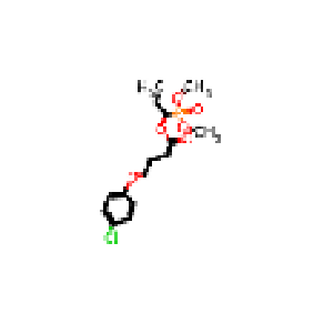 CCC(OC(=O)CCCOc1ccc(Cl)cc1)P(=O)(OC)OC